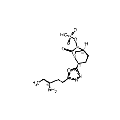 CC[C@H](N)CCc1nnc([C@@H]2CC[C@H]3CN2C(=O)N3OS(=O)(=O)O)o1